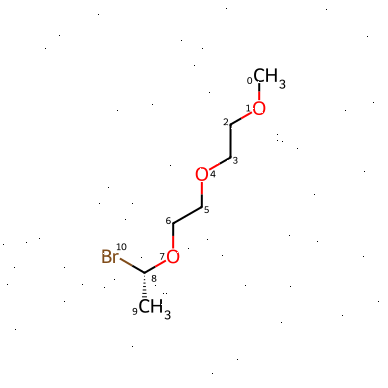 COCCOCCO[C@H](C)Br